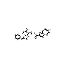 O=C(CCCN(C(=O)C(F)(F)F)C1CCN(Cc2ccccc2)C1)c1ccc2c(c1)CCNCC2